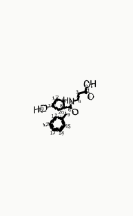 O=C(O)CCNC(=O)[C@]1(Cc2ccccc2)CC[C@@H](O)C1